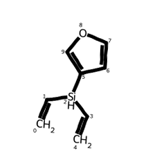 C=C[SiH](C=C)c1ccoc1